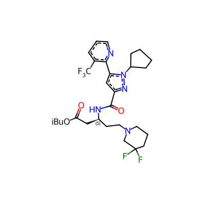 CC(C)COC(=O)C[C@H](CCN1CCCC(F)(F)C1)NC(=O)c1cc(-c2ncccc2C(F)(F)F)n(C2CCCC2)n1